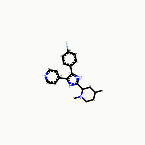 CC1CCN(C)C(c2nc(-c3ccncc3)c(-c3ccc(F)cc3)[nH]2)C1